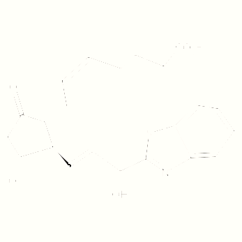 O=C(O)CCC/C=C\C[C@H]1C(=O)C[C@@H](O)[C@@H]1/C=C/[C@@H](O)c1nc2ccccc2s1